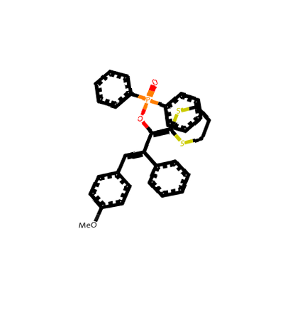 COc1ccc(C=C(C(OP(=O)(c2ccccc2)c2ccccc2)=C2SCCCS2)c2ccccc2)cc1